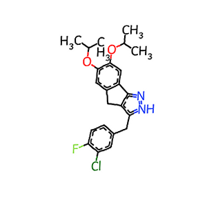 CC(C)Oc1cc2c(cc1OC(C)C)-c1n[nH]c(Cc3ccc(F)c(Cl)c3)c1C2